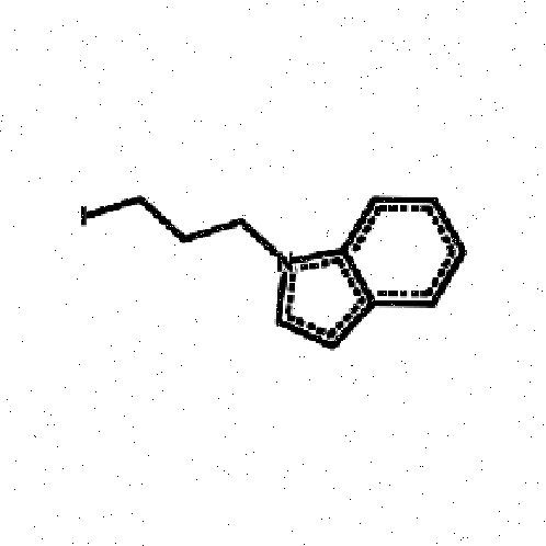 ICCCn1ccc2ccccc21